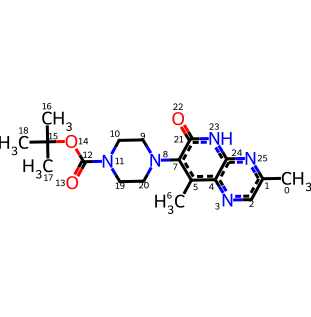 Cc1cnc2c(C)c(N3CCN(C(=O)OC(C)(C)C)CC3)c(=O)[nH]c2n1